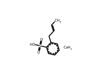 CC=CCc1ccccc1S(=O)(=O)O.[CaH2]